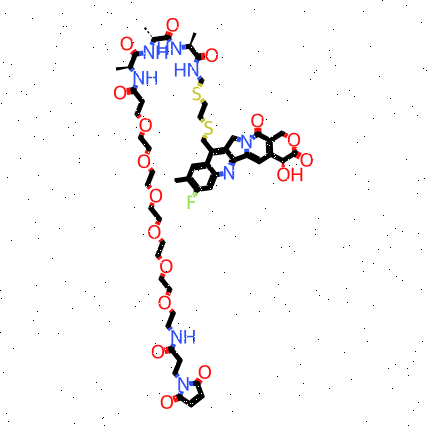 Cc1cc2c(CSCCSCNC(=O)[C@H](C)NC(=O)[C@@H](C)NC(=O)[C@H](C)NC(=O)CCOCCOCCOCCOCCOCCOCCNC(=O)CCN3C(=O)C=CC3=O)c3c(nc2cc1F)-c1cc2c(c(=O)n1C3)COC(=O)[C@H]2O